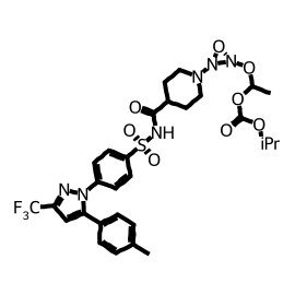 Cc1ccc(-c2cc(C(F)(F)F)nn2-c2ccc(S(=O)(=O)NC(=O)C3CCN(n4on4OC(C)OC(=O)OC(C)C)CC3)cc2)cc1